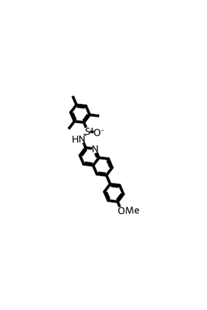 COc1ccc(-c2ccc3nc(N[S+]([O-])c4c(C)cc(C)cc4C)ccc3c2)cc1